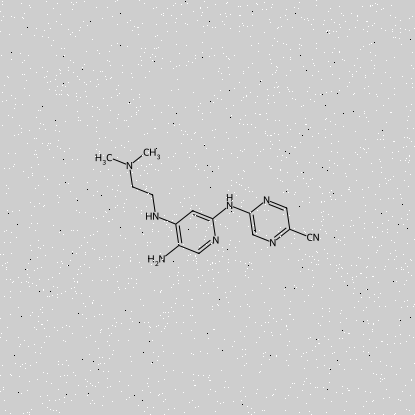 CN(C)CCNc1cc(Nc2cnc(C#N)cn2)ncc1N